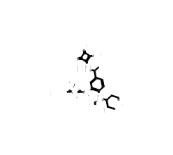 CC(C)CN(c1ccc(C(C)Nc2c(O)c(=O)c2=O)cc1Nc1nc(C(F)(F)F)ns1)C1CCOCC1